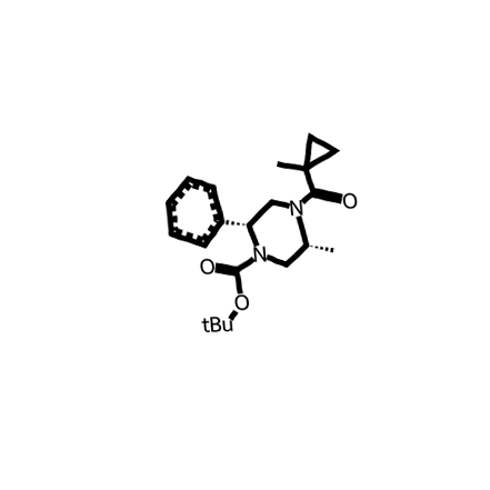 C[C@@H]1CN(C(=O)OC(C)(C)C)[C@H](c2ccccc2)CN1C(=O)C1(C)CC1